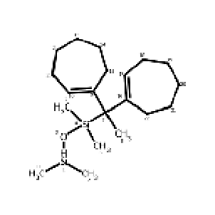 C[SiH](C)O[Si](C)(C)C(C)(C1=CCCCCC1)C1=CCCCCC1